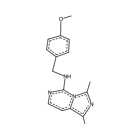 COc1ccc(CNc2nccc3c(C)nc(C)n23)cc1